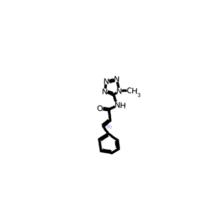 Cn1nnnc1NC(=O)/C=C/c1ccccc1